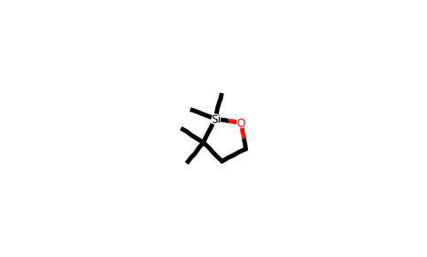 CC1(C)CCO[Si]1(C)C